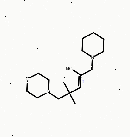 CC(C)(/C=C(\C#N)CN1CCCCC1)CN1CCOCC1